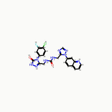 O=C(NCc1ncnn1-c1ccc2cccnc2c1)NCc1n[nH]c(=O)n1-c1ccc(Cl)c(F)c1